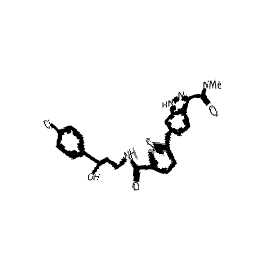 CNC(=O)c1n[nH]c2cc(-c3ccc(C(=O)NCCC(O)c4ccc(Cl)cc4)s3)ccc12